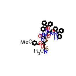 COc1ccc(COC(=O)C2(C=Cc3scnc3C)CS[C@@H]3C(NC(=O)C(=NOC(c4ccccc4)(c4ccccc4)c4ccccc4)c4csc(NC(c5ccccc5)(c5ccccc5)c5ccccc5)n4)C(=O)N3C2)cc1